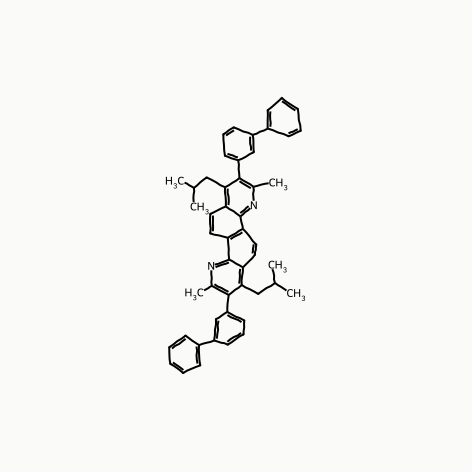 Cc1nc2c(ccc3c2ccc2c(CC(C)C)c(-c4cccc(-c5ccccc5)c4)c(C)nc23)c(CC(C)C)c1-c1cccc(-c2ccccc2)c1